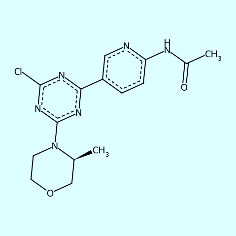 CC(=O)Nc1ccc(-c2nc(Cl)nc(N3CCOC[C@@H]3C)n2)cn1